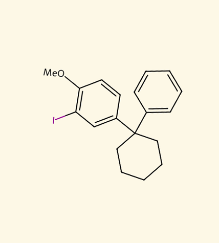 COc1ccc(C2(c3ccccc3)CCCCC2)cc1I